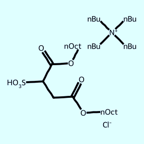 CCCCCCCCOC(=O)CC(C(=O)OCCCCCCCC)S(=O)(=O)O.CCCC[N+](CCCC)(CCCC)CCCC.[Cl-]